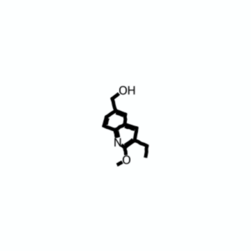 CCc1cc2cc(CO)ccc2nc1OC